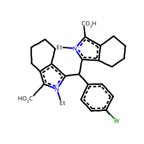 CCn1c(C(=O)O)c2c(c1C(c1ccc(Br)cc1)c1c3c(c(C(=O)O)n1CC)CCCC3)CCCC2